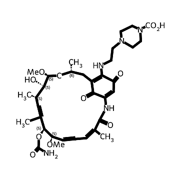 CO[C@H]1C=CC=C(C)C(=O)NC2=CC(=O)C(NCCN3CCN(C(=O)O)CC3)=C(C[C@@H](C)C[C@H](OC)[C@@H](O)[C@@H](C)C=C(C)[C@@H]1OC(N)=O)C2=O